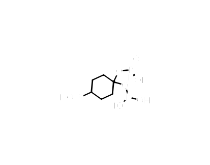 O=[PH](O)OC1(OP(O)O)CCC(S(=O)(=O)O)CC1